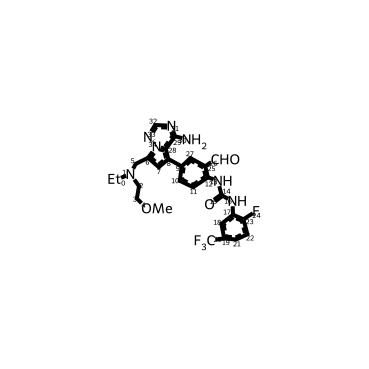 CCN(CCOC)Cc1cc(-c2ccc(NC(=O)Nc3cc(C(F)(F)F)ccc3F)c(C=O)c2)c2c(N)ncnn12